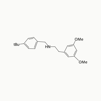 COc1cc(CCNCc2ccc(C(C)(C)C)cc2)cc(OC)c1